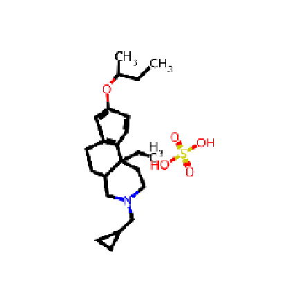 CCC(C)Oc1ccc2c(c1)CCC1CN(CC3CC3)CCC21CC.O=S(=O)(O)O